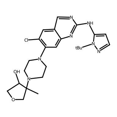 CC1(N2CCN(c3cc4nc(Nc5ccnn5C(C)(C)C)ncc4cc3Cl)CC2)COCC1O